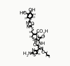 C=CCON=C(C(=O)N[C@@H]1C(=O)N2C(C(=O)O)=C(CSc3nnc(-c4ccc(O)c(O)c4)o3)CS[C@@H]12)c1csc(N)n1